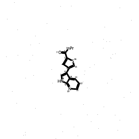 CCCC(=O)c1cc(-c2c[nH]c3ncccc23)cs1